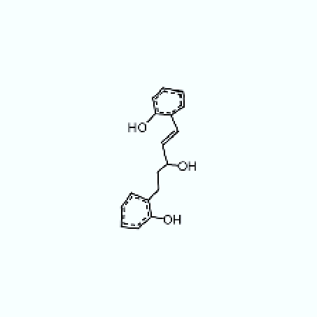 Oc1ccccc1C=CC(O)CCc1ccccc1O